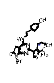 C#C/C=C\c1c(-c2nc(NCCc3ccc(O)cc3)c3c(n2)N(C(C)C)C(=O)C3)csc1C